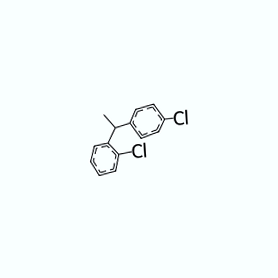 CC(c1ccc(Cl)cc1)c1ccccc1Cl